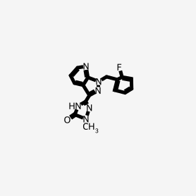 Cn1nc(-c2nn(Cc3ccccc3F)c3ncccc23)[nH]c1=O